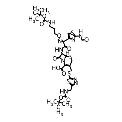 CC(C)(C)OC(=O)NCCCON=C(C(=O)NC1C(=O)N2C(C(=O)O)=C(CSc3nnc(CNC(=O)OC(C)(C)C)s3)CS[C@@H]12)c1csc(NC=O)n1